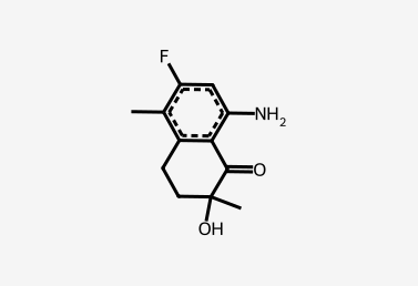 Cc1c(F)cc(N)c2c1CCC(C)(O)C2=O